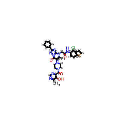 CCc1c(N2CCN(C(=O)c3ncnc(C)c3O)CC2)c(=O)n2nc(-c3ccccc3)nc2n1CC(=O)Nc1ccc2sccc2c1Cl